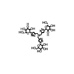 OC[C@H]1OC(n2cc(CN(Cc3cn(C4O[C@H](CO)[C@@H](O)[C@H](O)[C@H]4O)nn3)Cc3cn(C4O[C@H](CO)[C@@H](O)[C@H](O)[C@H]4O)nn3)nn2)[C@H](O)[C@@H](O)[C@@H]1O